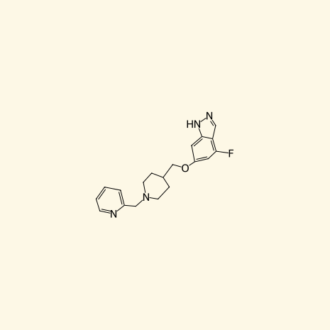 Fc1cc(OCC2CCN(Cc3ccccn3)CC2)cc2[nH]ncc12